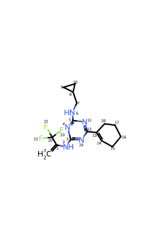 C=C(Nc1nc(NCC2CC2)nc(C2=CCCCC2)n1)C(F)(F)F